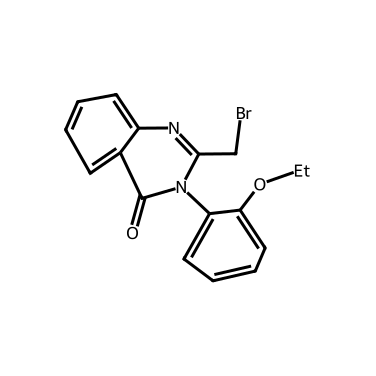 CCOc1ccccc1-n1c(CBr)nc2ccccc2c1=O